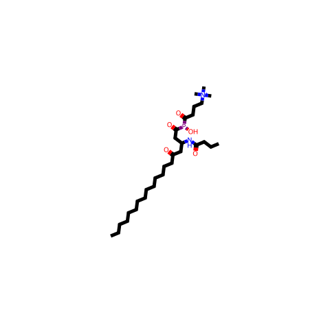 CCCCCCCCCCCCCCC(=O)CC(CC(=O)P(O)C(=O)CCC[N+](C)(C)C)NC(=O)CCC